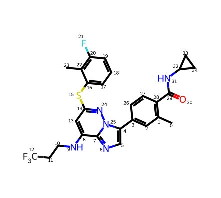 Cc1cc(-c2cnc3c(NCCC(F)(F)F)cc(Sc4cccc(F)c4C)nn23)ccc1C(=O)NC1CC1